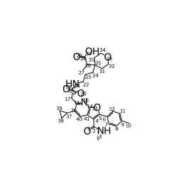 CNC(=O)c1c(-c2ccc(C)cc2)oc2nc(CS(=O)(=O)NCCCC3(C(C)C(=O)O)CCOCC3)c(C3CC3)cc12